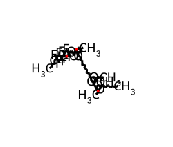 CCCCCCCC1OC(CC)CC(CC2CC(CC(C)O)OC(CCCCCCCCCCOc3cc(C)ccc3C(=O)Oc3c(F)c(F)c(-c4c(F)c(F)c(OCCCC)c(F)c4F)c(F)c3F)O2)O1